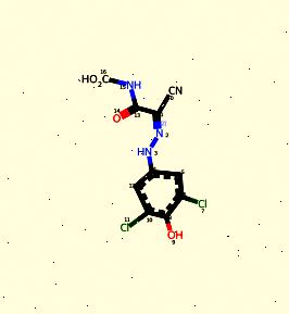 N#C/C(=N/Nc1cc(Cl)c(O)c(Cl)c1)C(=O)NC(=O)O